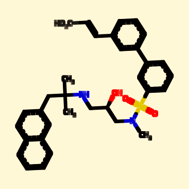 CN(C[C@H](O)CNC(C)(C)Cc1ccc2ccccc2c1)S(=O)(=O)c1cccc(-c2cccc(/C=C/C(=O)O)c2)c1